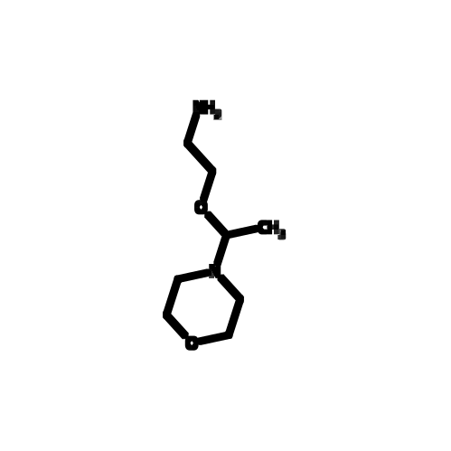 CC(OCCN)N1CCOCC1